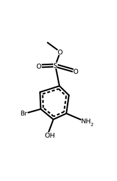 COS(=O)(=O)c1cc(N)c(O)c(Br)c1